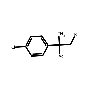 CC(=O)C(C)(CBr)c1ccc(Cl)cc1